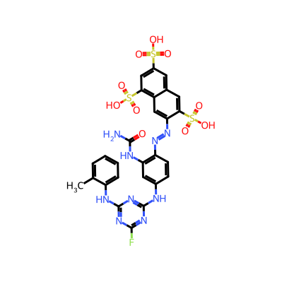 Cc1ccccc1Nc1nc(F)nc(Nc2ccc(/N=N/c3cc4c(S(=O)(=O)O)cc(S(=O)(=O)O)cc4cc3S(=O)(=O)O)c(NC(N)=O)c2)n1